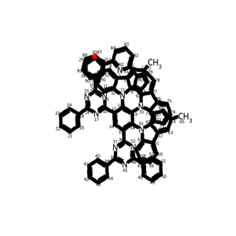 Cc1ccc2c(c1)c1ccccc1n2-c1c(-c2nc(-c3ccccc3)nc(-c3ccccc3)n2)cc(-c2nc(-c3ccccc3)nc(-c3ccccc3)n2)c(-n2c3ccccc3c3cc(C)ccc32)c1-n1c2ccccc2c2ccc(-c3cccc(-c4ccccc4)n3)cc21